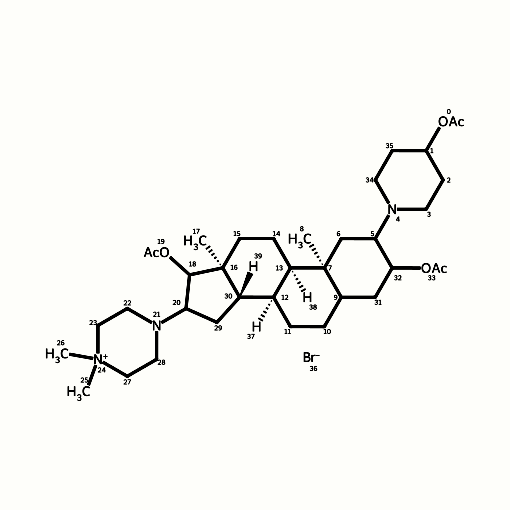 CC(=O)OC1CCN(C2C[C@@]3(C)C(CC[C@@H]4[C@H]3CC[C@]3(C)C(OC(C)=O)C(N5CC[N+](C)(C)CC5)C[C@@H]43)CC2OC(C)=O)CC1.[Br-]